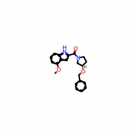 COc1cccc2[nH]c(C(=O)N3CC[C@@H](OCc4ccccc4)C3)cc12